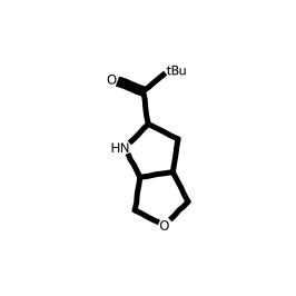 CC(C)(C)C(=O)C1CC2COCC2N1